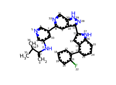 C=C(Nc1cncc(-c2cc3c(-c4cc5c(-c6ccccc6F)cccc5[nH]4)n[nH]c3cn2)c1)C(C)C